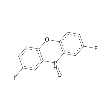 O=[PH]1c2cc(F)ccc2Oc2ccc(I)cc21